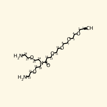 C#CCOCCOCCOCCOCCC(=O)N(CCOCCN)CCOCCN